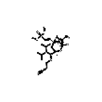 B[C@@H]1O[C@@]2(/C=C/P(=O)(OC)OC)C[C@](C)(P(OCCC#N)N(C(C)C)C(C)C)O[C@@H]1[C@@H]2O